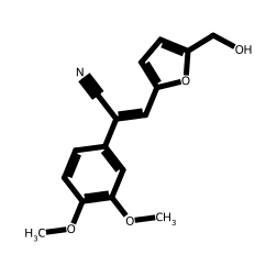 COc1ccc(C(C#N)=Cc2ccc(CO)o2)cc1OC